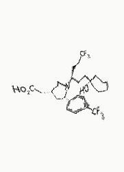 O=C(O)C[C@@H]1CCN([C@@H](CCC(F)(F)F)CCC2(O)CCCC2)[C@H](c2ccc(C(F)(F)F)cc2)C1